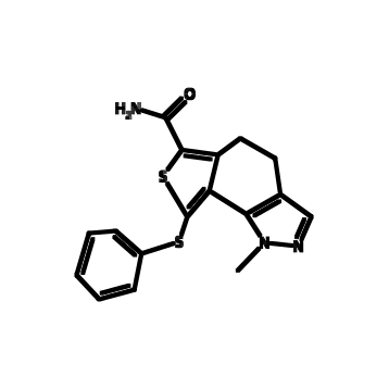 Cn1ncc2c1-c1c(Sc3ccccc3)sc(C(N)=O)c1CC2